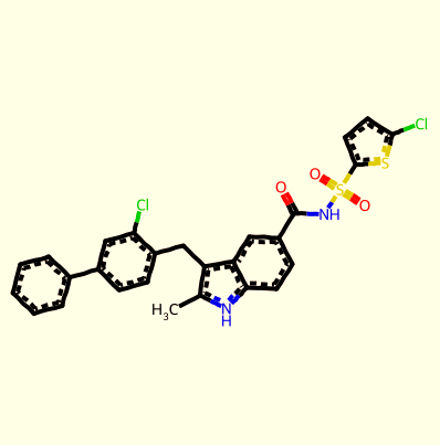 Cc1[nH]c2ccc(C(=O)NS(=O)(=O)c3ccc(Cl)s3)cc2c1Cc1ccc(-c2ccccc2)cc1Cl